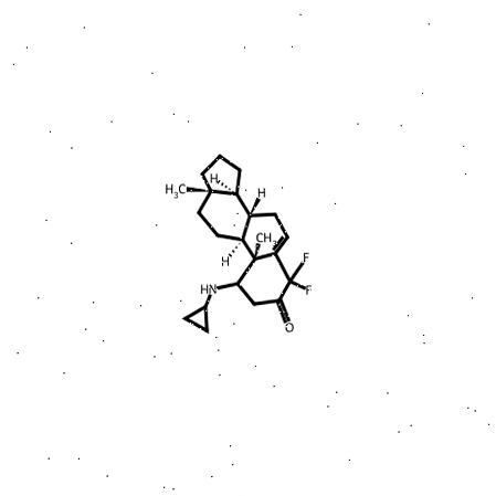 C[C@@]12CCC[C@H]1[C@@H]1CC=C3C(F)(F)C(=O)CC(NC4CC4)[C@]3(C)[C@H]1CC2